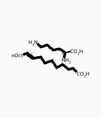 CCCCCCCC/C=C/CCCCCCCC(=O)O.NCCCC[C@H](N)C(=O)O